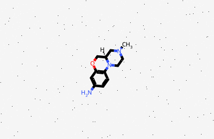 CN1CCN2c3ccc(N)cc3OC[C@H]2C1